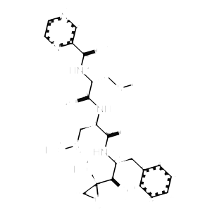 CSC[C@@H](NC(=O)c1cnccn1)C(=O)N[C@H](CSC)C(=O)N[C@@H](Cc1ccccc1)C(=O)[C@@]1(C)CO1